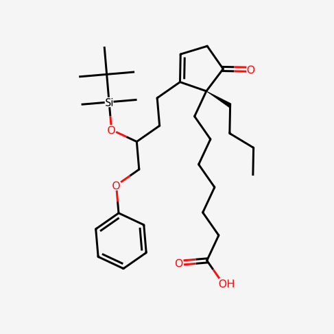 CCCC[C@]1(CCCCCCC(=O)O)C(=O)CC=C1CCC(COc1ccccc1)O[Si](C)(C)C(C)(C)C